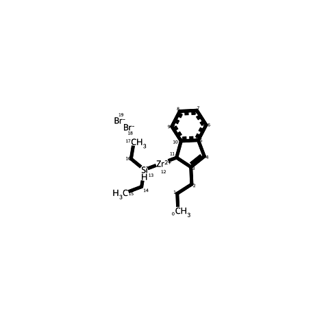 CCCC1=Cc2ccccc2[CH]1[Zr+2][SiH](CC)CC.[Br-].[Br-]